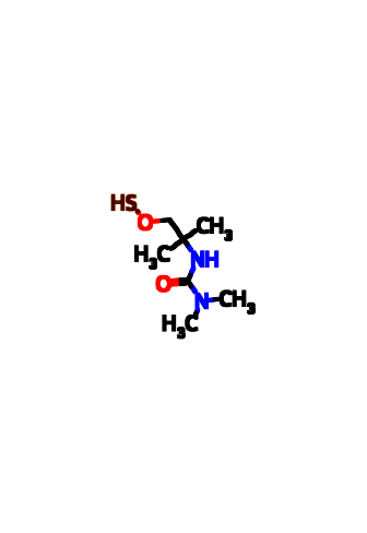 CN(C)C(=O)NC(C)(C)COS